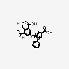 CCc1c(C(=O)O)cc(C)cc1C(=O)O.O=C(O)c1cnn(-c2ccccc2)c1